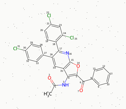 CC(=O)Nc1c(C(=O)c2ccccc2)oc2nc(-c3ccc(Cl)cc3Cl)c(-c3ccc(Cl)cc3)cc12